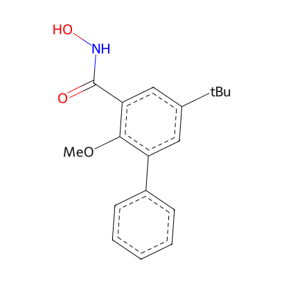 COc1c(C(=O)NO)cc(C(C)(C)C)cc1-c1ccccc1